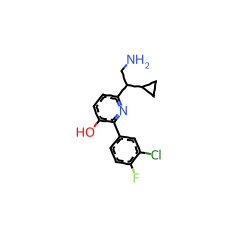 NCC(c1ccc(O)c(-c2ccc(F)c(Cl)c2)n1)C1CC1